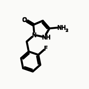 Nc1cc(=O)n(Cc2ccccc2F)[nH]1